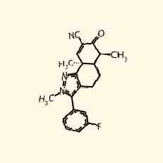 C[C@@H]1C(=O)C(C#N)=C[C@]2(C)c3nn(C)c(-c4cccc(F)c4)c3CCC12